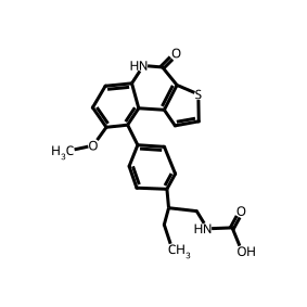 CCC(CNC(=O)O)c1ccc(-c2c(OC)ccc3[nH]c(=O)c4sccc4c23)cc1